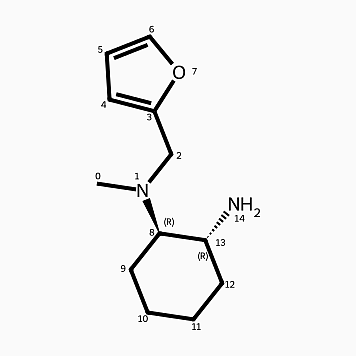 CN(Cc1ccco1)[C@@H]1CCCC[C@H]1N